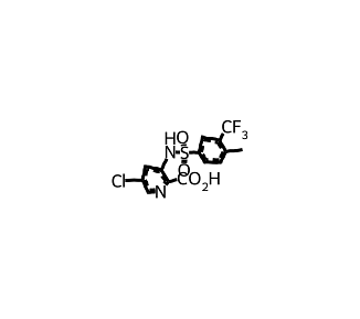 Cc1ccc(S(=O)(=O)Nc2cc(Cl)cnc2C(=O)O)cc1C(F)(F)F